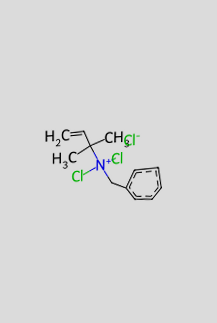 C=CC(C)(C)[N+](Cl)(Cl)Cc1ccccc1.[Cl-]